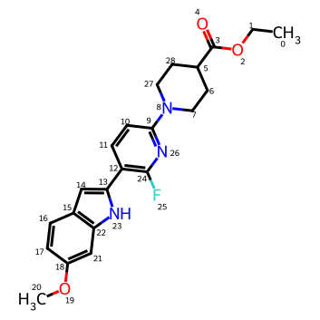 CCOC(=O)C1CCN(c2ccc(-c3cc4ccc(OC)cc4[nH]3)c(F)n2)CC1